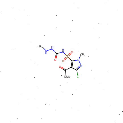 CCCCNNC(=O)NS(=O)(=O)c1c(C(=O)OC)c(Cl)nn1C